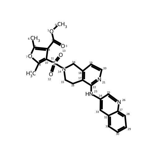 COC(=O)c1c(C)oc(C)c1S(=O)(=O)N1CCc2c(ccnc2Nc2cnc3ccccc3c2)C1